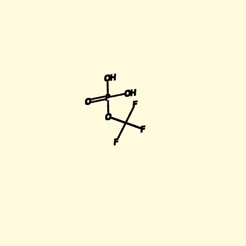 O=P(O)(O)OC(F)(F)F